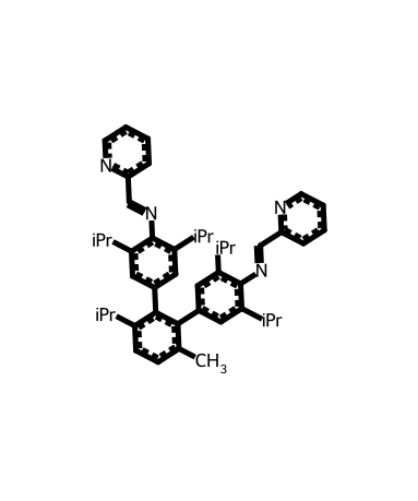 Cc1ccc(C(C)C)c(-c2cc(C(C)C)c(N=Cc3ccccn3)c(C(C)C)c2)c1-c1cc(C(C)C)c(N=Cc2ccccn2)c(C(C)C)c1